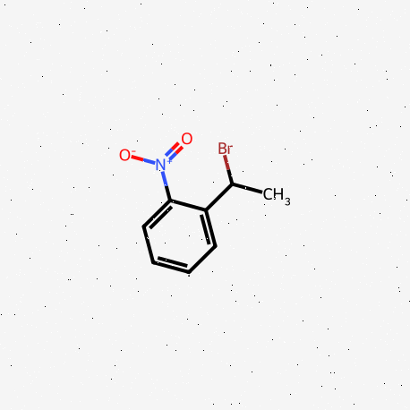 CC(Br)c1c[c]ccc1[N+](=O)[O-]